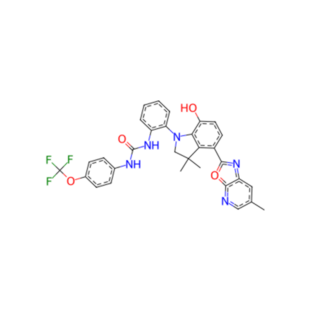 Cc1cnc2oc(-c3ccc(O)c4c3C(C)(C)CN4c3ccccc3NC(=O)Nc3ccc(OC(F)(F)F)cc3)nc2c1